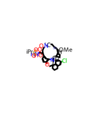 CO[C@H]1/C=C/CCN(C)C(=O)C[C@](O)(C(=O)NS(=O)(=O)C(C)C)c2ccc3c(c2)N(C[C@@H]2CC[C@H]21)C[C@@]1(CCCc2cc(Cl)ccc21)CO3